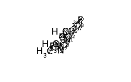 CC(F)Cc1nc2ccc(N3C=CC(OCc4ccc(F)cc4)C(C)C3=O)cc2n1C